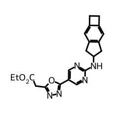 CCOC(=O)Cc1nnc(-c2cnc(NC3Cc4cc5c(cc4C3)CC5)nc2)o1